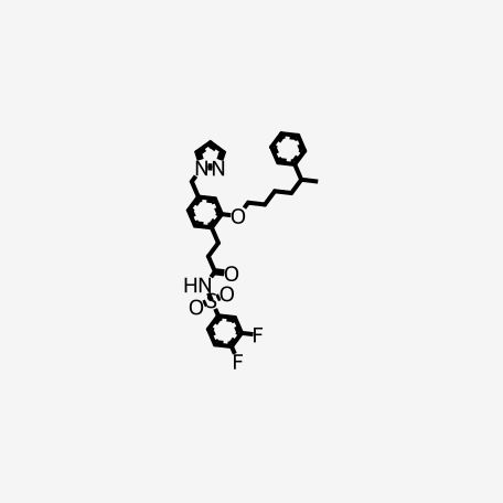 CC(CCCCOc1cc(Cn2cccn2)ccc1CCC(=O)NS(=O)(=O)c1ccc(F)c(F)c1)c1ccccc1